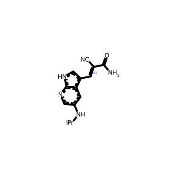 CC(C)Nc1cnc2[nH]cc(/C=C(\C#N)C(N)=O)c2c1